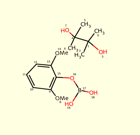 CC(C)(O)C(C)(C)O.COc1cccc(OC)c1OB(O)O